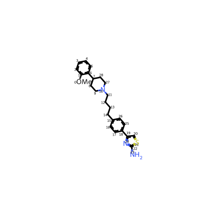 COc1ccccc1C1CCN(CCCCc2ccc(-c3csc(N)n3)cc2)CC1